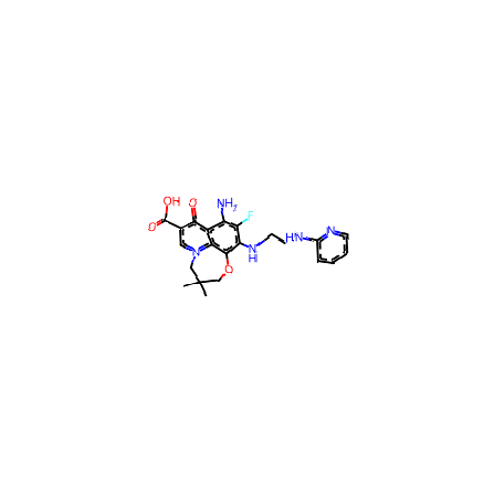 CC1(C)COc2c(NCCNc3ccccn3)c(F)c(N)c3c(=O)c(C(=O)O)cn(c23)C1